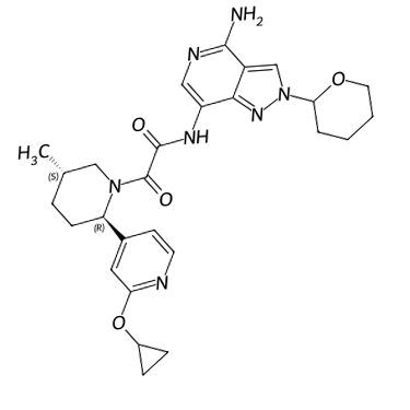 C[C@H]1CC[C@H](c2ccnc(OC3CC3)c2)N(C(=O)C(=O)Nc2cnc(N)c3cn(C4CCCCO4)nc23)C1